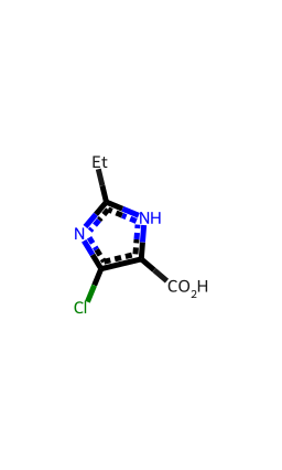 CCc1nc(Cl)c(C(=O)O)[nH]1